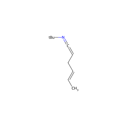 CC=CCC=C=NC(C)(C)C